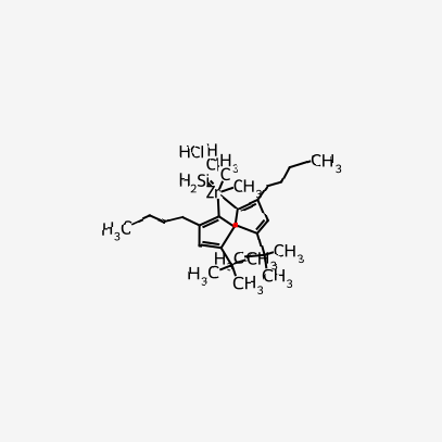 CCCCC1=[C]([Zr]([CH3])([CH3])(=[SiH2])[C]2=C(CCCC)C=C(C(C)(C)C)C2)CC(C(C)(C)C)=C1.Cl.Cl